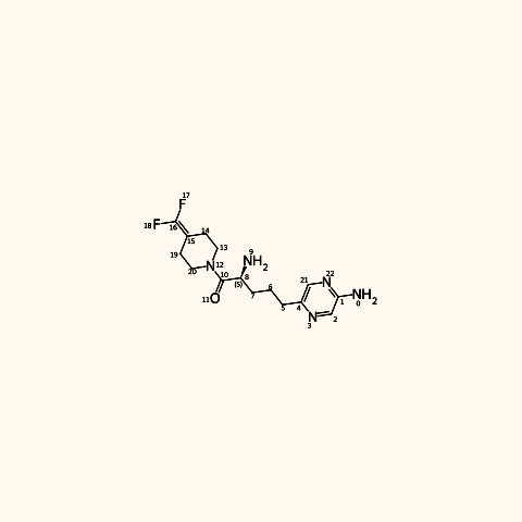 Nc1cnc(CCC[C@H](N)C(=O)N2CCC(=C(F)F)CC2)cn1